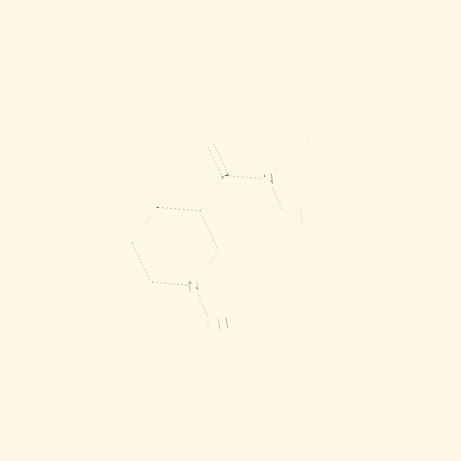 CN1CCCC(C(=O)N(C)C)C1